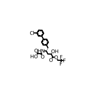 O=C(O)C(=O)N[C@H](Cc1ccc(-c2cccc(Cl)c2)cc1)C[C@@H](O)C(=O)OCC(F)(F)F